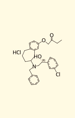 CCC(=O)COc1ccc2c(c1)CC(N(Cc1ccccc1)C[C@H](O)c1cccc(Cl)c1)CCC2.Cl